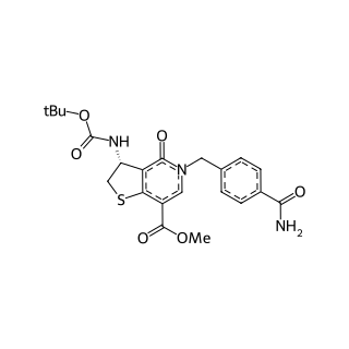 COC(=O)c1cn(Cc2ccc(C(N)=O)cc2)c(=O)c2c1SC[C@@H]2NC(=O)OC(C)(C)C